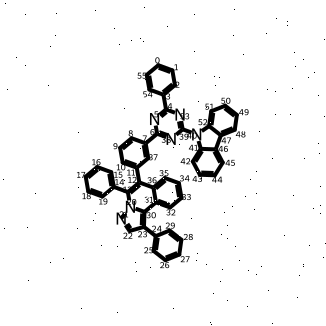 c1ccc(-c2nc(-c3cccc(-c4c(-c5ccccc5)n5ncc(-c6ccccc6)c5c5ccccc45)c3)nc(-n3c4ccccc4c4ccccc43)n2)cc1